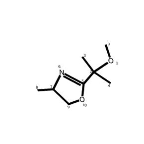 COC(C)(C)C1=NC(C)CO1